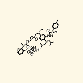 CC[C@@H](CC(=O)OCOC(=O)N(C)c1ncccc1COP(=O)(O)O)c1ccc(N(CC(C)C)CC(C)C)c(NC(=O)Nc2ccc(C)cc2)c1